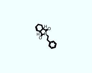 O=C1[C@H]2CCC=C[C@H]2C(=O)N1CCc1ccccc1